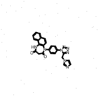 O=C1CC(=O)N(c2ccc(-n3nnnc3Cn3ccnc3)cc2)c2ccc3ccccc3c2N1